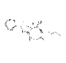 CCCCN1C(=O)C(C)(C)N(OC(C)c2ccccc2)C(C)(C)CC1C